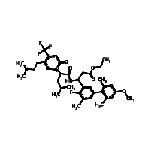 CCOC(=O)CC(NC(=O)C(CC(C)C)n1cc(CCN(C)C)c(C(F)(F)F)cc1=O)c1cc(-c2c(C)cc(OC)cc2C)cc(C)c1F